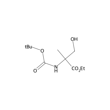 CCOC(=O)C(C)(CO)NC(=O)OC(C)(C)C